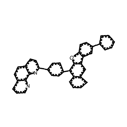 c1ccc(-c2ccc3oc4c(-c5ccc(-c6ccc7ccc8cccnc8c7n6)cc5)c5ccccc5cc4c3c2)cc1